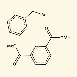 CC(=O)Cc1ccccc1.COC(=O)c1cccc(C(=O)OC)c1